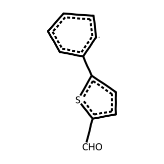 O=Cc1ccc(-c2[c]cccc2)s1